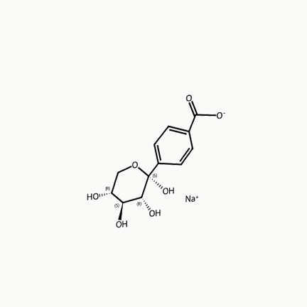 O=C([O-])c1ccc([C@]2(O)OC[C@@H](O)[C@H](O)[C@H]2O)cc1.[Na+]